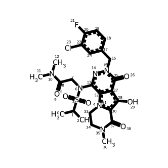 CC(C)S(=O)(=O)N(CC(=O)N(C)C)c1nn(Cc2ccc(F)c(Cl)c2)c(=O)c2c(O)c3n(c12)CCN(C)C3=O